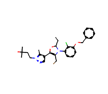 CC(C)CC1OC(c2cnn(CCC(C)(C)O)c2C(F)(F)F)=C(CBr)N1c1cccc(OCc2ccccc2)c1Cl